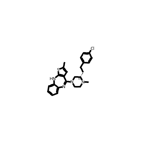 Cc1cc2c(s1)Nc1ccccc1N=C2N1CCN(C)[C@@H](CCc2ccc(Cl)cc2)C1